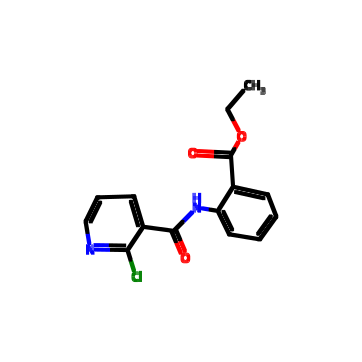 CCOC(=O)c1ccccc1NC(=O)c1cccnc1Cl